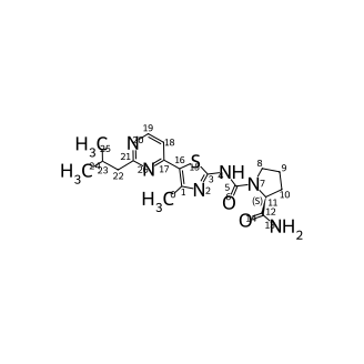 Cc1nc(NC(=O)N2CCC[C@H]2C(N)=O)sc1-c1ccnc(CC(C)C)n1